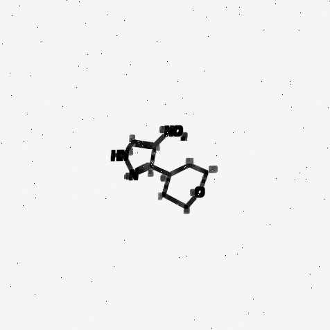 O=[N+]([O-])c1c[nH]nc1C1CCOCC1